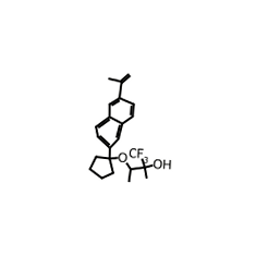 C=C(C)c1ccc2cc(C3(OC(C)C(C)(O)C(F)(F)F)CCCC3)ccc2c1